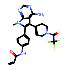 C=CC(=O)Nc1ccc(-c2c(C3=CCN(C(=O)C(F)(F)F)CC3)c3c(N)ncnc3n2C)cc1